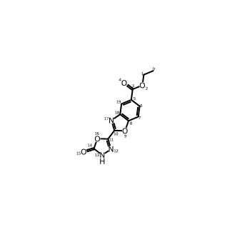 CCOC(=O)c1ccc2oc(-c3n[nH]c(=O)o3)nc2c1